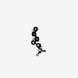 N#Cc1nc(C#N)c2sc3ccc(-c4cccc5oc6c(-c7ccc8oc9ccccc9c8c7)cccc6c45)cc3c2n1